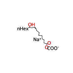 CCCCCC[C@@H](O)C/C=C\CCCCCCCC(=O)OC(=O)[O-].[Na+]